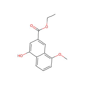 CCOC(=O)c1cc(O)c2cccc(OC)c2c1